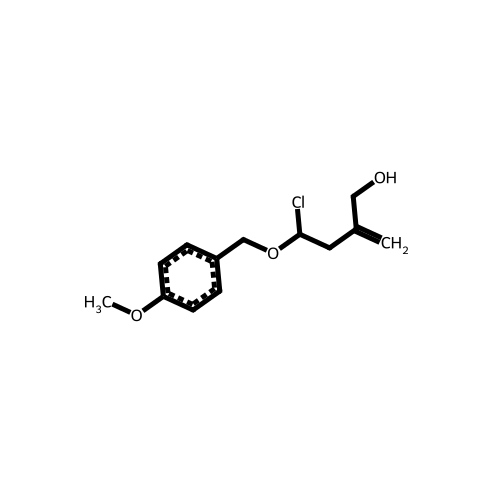 C=C(CO)CC(Cl)OCc1ccc(OC)cc1